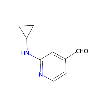 O=Cc1ccnc(NC2CC2)c1